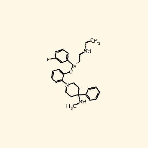 CCNCC[C@H](Oc1ccccc1N1CCC(NC)(c2ccccc2)CC1)c1cccc(F)c1